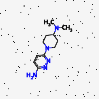 CN(C)C1CCN(c2ccc(N)nn2)CC1